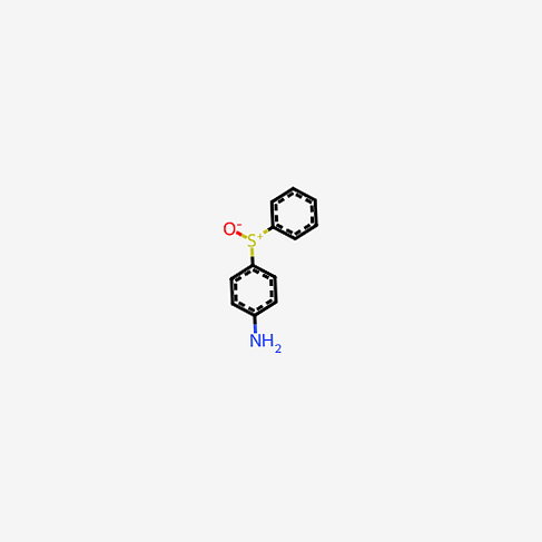 Nc1ccc([S+]([O-])c2ccccc2)cc1